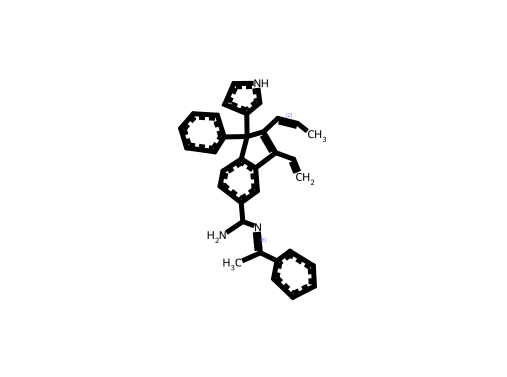 C=CC1=C(/C=C\C)C(c2ccccc2)(c2cc[nH]c2)c2ccc(C(N)/N=C(\C)c3ccccc3)cc21